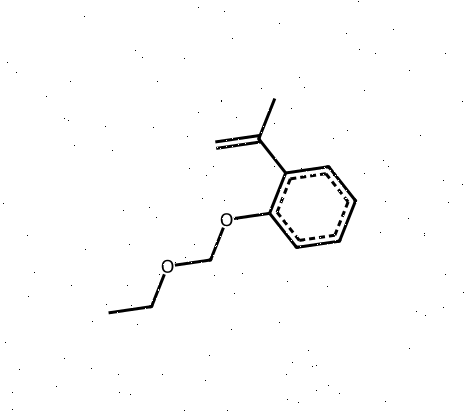 C=C(C)c1ccccc1OCOCC